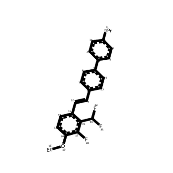 CCCc1ccc(-c2ccc(/C=C/c3ccc(OCC)c(F)c3C(F)F)cc2)cc1